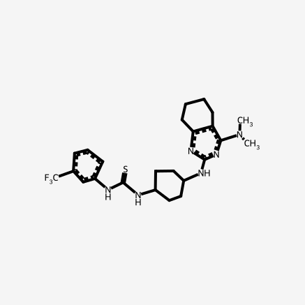 CN(C)c1nc(NC2CCC(NC(=S)Nc3cccc(C(F)(F)F)c3)CC2)nc2c1CCCC2